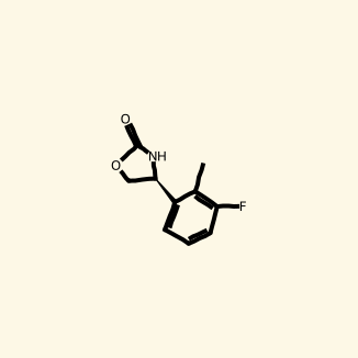 Cc1c(F)cccc1[C@H]1COC(=O)N1